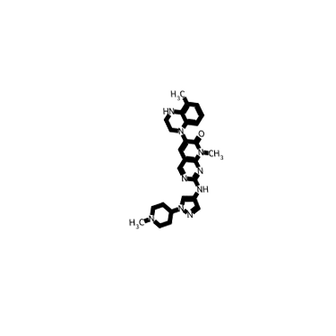 Cc1cccc2c1NCCN2c1cc2cnc(Nc3cnn(C4CCN(C)CC4)c3)nc2n(C)c1=O